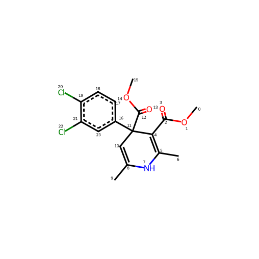 COC(=O)C1=C(C)NC(C)=CC1(C(=O)OC)c1ccc(Cl)c(Cl)c1